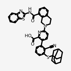 N#Cc1c(SC23CC4CC(CC(C4)C2)C3)cccc1-c1ccc(N2CCc3cccc(C(=O)Nc4nc5ccccc5s4)c3C2)nc1C(=O)O